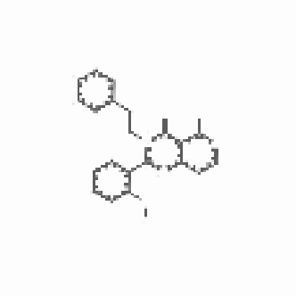 COc1ccccc1-c1nc2ccnc(I)c2c(=O)n1CCc1ccccc1